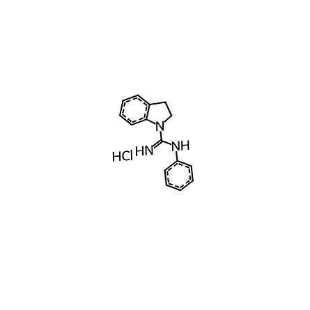 Cl.N=C(Nc1ccccc1)N1CCc2ccccc21